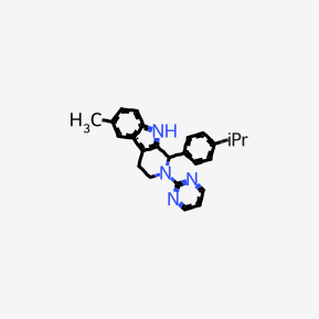 Cc1ccc2[nH]c3c(c2c1)CCN(c1ncccn1)C3c1ccc(C(C)C)cc1